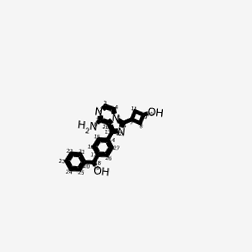 Nc1nccn2c(C3CC(O)C3)nc(-c3ccc(C(O)c4ccccc4)cc3)c12